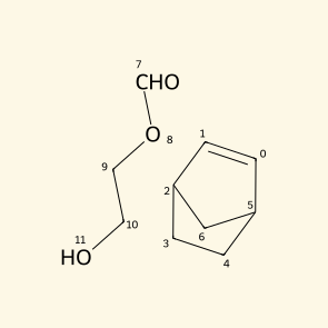 C1=CC2CCC1C2.O=COCCO